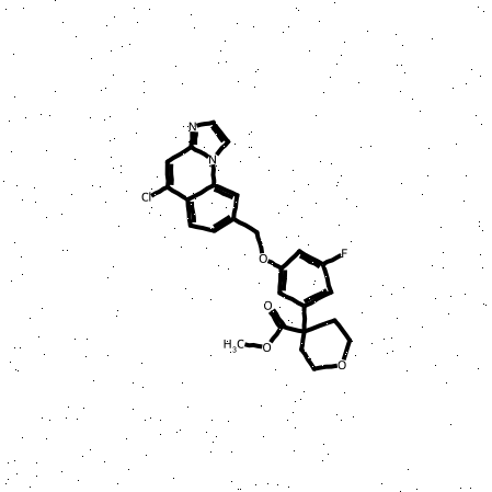 COC(=O)C1(c2cc(F)cc(OCc3ccc4c(Cl)cc5nccn5c4c3)c2)CCOCC1